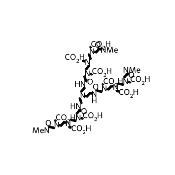 CNC(=O)CN(CCN(CCN(CC(=O)O)CC(=O)NCCN(CCNC(=O)CN(CCN(CCN(CC(=O)O)CC(=O)NC)CC(=O)O)CC(=O)O)CCNC(=O)CN(CCN(CCN(CC(=O)O)CC(=O)NC)CC(=O)O)CC(=O)O)CC(=O)O)CC(=O)O